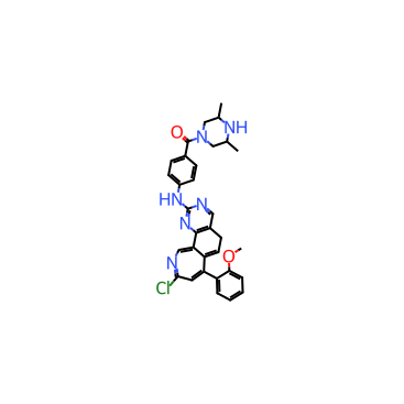 COc1ccccc1C1=CC(Cl)=NC=C2C1=CCc1cnc(Nc3ccc(C(=O)N4CC(C)NC(C)C4)cc3)nc12